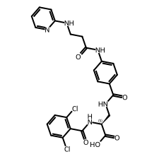 O=C(CCNc1ccccn1)Nc1ccc(C(=O)NC[C@H](NC(=O)c2c(Cl)cccc2Cl)C(=O)O)cc1